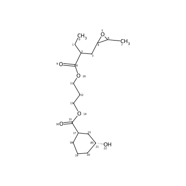 CCC(CC1OC1C)C(=O)OCCCOC(=O)C1CCC[C@@H](O)C1